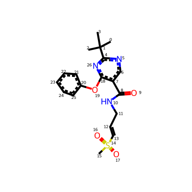 CC(C)(C)c1ncc(C(=O)NCC=CS(C)(=O)=O)c(Oc2ccccc2)n1